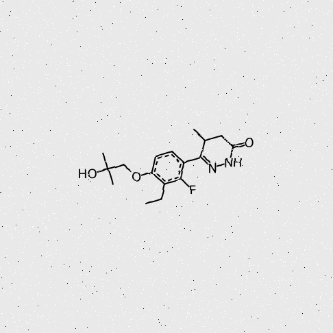 CCc1c(OCC(C)(C)O)ccc(C2=NNC(=O)CC2C)c1F